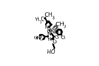 COc1ccc(Cl)c(Oc2c(NS(=O)(=O)c3ccc(C(C)C)cn3)nc(-c3cc[n+]([O-])cc3)nc2OCCO)c1